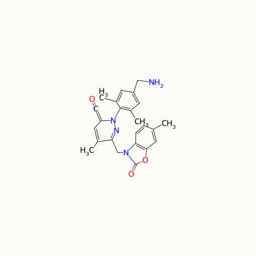 CC1=CC(=C=O)N(c2c(C)cc(CN)cc2C)N=C1Cn1c(=O)oc2cc(C)ccc21